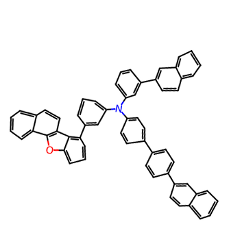 c1cc(-c2ccc3ccccc3c2)cc(N(c2ccc(-c3ccc(-c4ccc5ccccc5c4)cc3)cc2)c2cccc(-c3cccc4oc5c6ccccc6ccc5c34)c2)c1